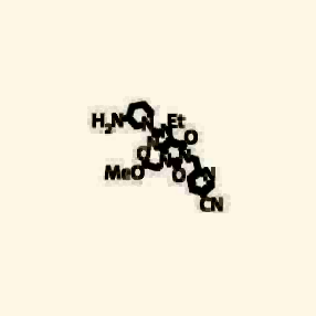 CCn1c(N2CCCC(N)C2)nc2c1c(=O)n(Cc1ccc(C#N)cn1)c(=O)n2CC(=O)OC